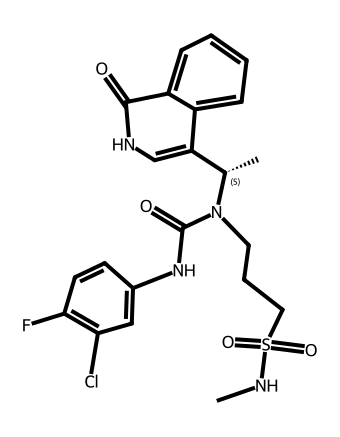 CNS(=O)(=O)CCCN(C(=O)Nc1ccc(F)c(Cl)c1)[C@@H](C)c1c[nH]c(=O)c2ccccc12